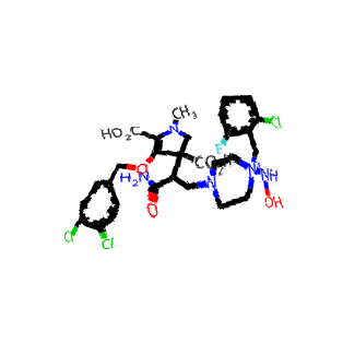 CN1CC(C(=O)O)(C(CN2CC[N+](Cc3c(F)cccc3Cl)(NO)CC2)C(N)=O)C(OCc2ccc(Cl)c(Cl)c2)=C1C(=O)O